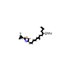 C=CC[C@@H](CC/C(C)=C/C=C/C=C\[C@@H]1CSC([C@@H]2C[C@@H]2C)=N1)OC